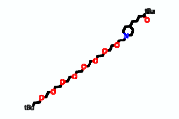 CC(C)(C)CCOCCOCCOCCOCCOCCOCCOCCOCCN1CCC(CCCC(=O)C(C)(C)C)CC1